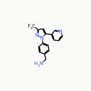 NCc1ccc(-n2nc(C(F)(F)F)cc2-c2cccnc2)cc1